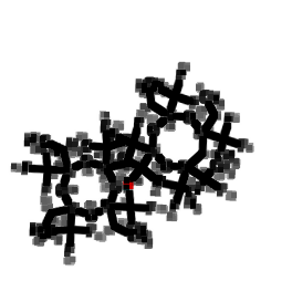 CC[Si]1(C(C)(F)F)C[Si](C(C)(F)F)(C(C)(F)F)O[Si](C(C)(F)F)(C(F)(F)C[Si]2(C(C)(F)F)O[Si](CC)(C(C)(F)F)O[Si](CC)(C(C)(F)F)O[Si](CC)(C(C)(F)F)O2)O[Si](CC)(C(C)(F)F)O1